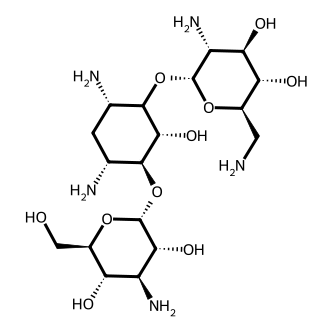 NC[C@H]1O[C@H](OC2[C@@H](N)C[C@@H](N)[C@H](O[C@H]3O[C@H](CO)[C@@H](O)[C@H](N)[C@H]3O)[C@H]2O)[C@H](N)[C@@H](O)[C@@H]1O